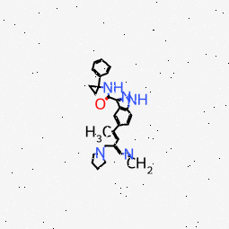 C=N/C=C(\C=C(/C)c1ccc2[nH]nc(C(=O)NC3(c4ccccc4)CC3)c2c1)CN1CCCC1